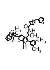 Cc1cc(C)cc(-c2[nH]c3sc(C(C)(C)C(=O)C4C5CCC4NC5)cc3c2[C@H](C)CNC(=O)C2CN(Cc3ccsc3)C2)c1